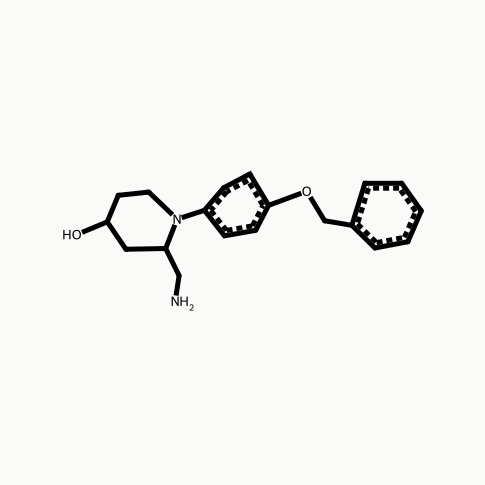 NCC1CC(O)CCN1c1ccc(OCc2ccccc2)cc1